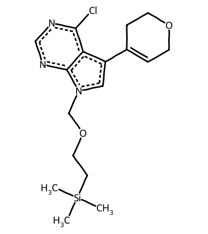 C[Si](C)(C)CCOCn1cc(C2=CCOCC2)c2c(Cl)ncnc21